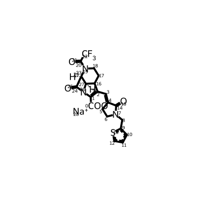 O=C([O-])C1=C(/C=C2\CCN(Cc3cccs3)C2=O)C2CCN(C(=O)C(F)(F)F)[C@@H]3C(=O)N1[C@H]23.[Na+]